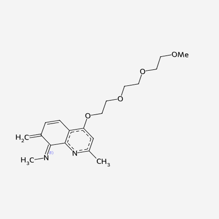 C=C1C=Cc2c(OCCOCCOCCOC)cc(C)nc2/C1=N/C